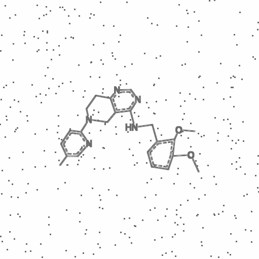 COc1cccc(CNc2ncnc3c2CN(c2ccc(C)cn2)CC3)c1OC